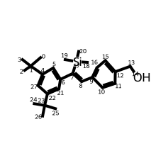 CC(C)(C)c1cc(C(=Cc2ccc(CO)cc2)[Si](C)(C)C)cc(C(C)(C)C)c1